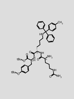 Cc1ccc(C(NCCCC[C@H](NC(=O)[C@@H](N)CCCNC(N)=O)C(=O)N[C@@H](Cc2ccc(OC(C)(C)C)cc2)C(=O)OC(C)(C)C)(c2ccccc2)c2ccccc2)cc1